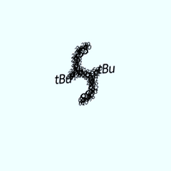 CC(C)(C)c1ccc(N(c2ccc(-c3ccc(N(c4ccc(-c5ccc(-c6ccc(-c7cccs7)s6)s5)cc4)c4ccc(C(C)(C)C)cc4)cc3)cc2)c2ccc(-c3ccc(-c4ccc(-c5cccs5)s4)s3)cc2)cc1